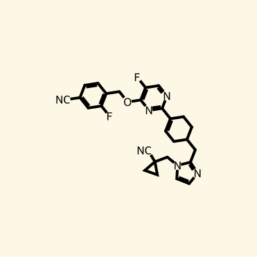 N#Cc1ccc(COc2nc(C3=CCC(Cc4nccn4CC4(C#N)CC4)CC3)ncc2F)c(F)c1